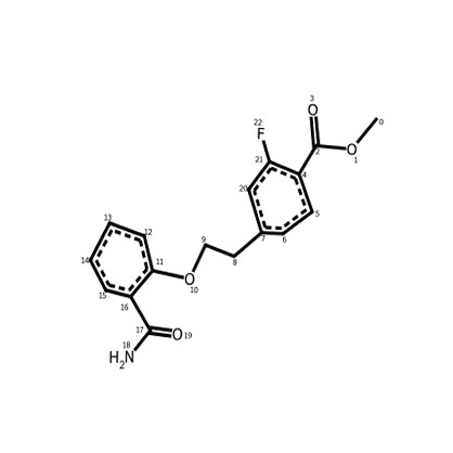 COC(=O)c1ccc(CCOc2ccccc2C(N)=O)cc1F